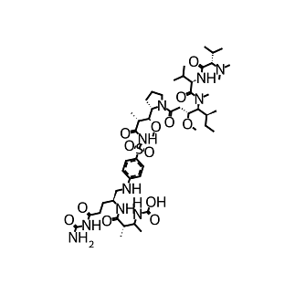 CC[C@H](C)[C@@H]([C@@H](CC(=O)N1CCC[C@H]1[C@H](OC)[C@@H](C)C(=O)NS(=O)(=O)c1ccc(NC[C@H](CCC(=O)NC(N)=O)NC(=O)[C@@H](C)C(C)NC(=O)O)cc1)OC)N(C)C(=O)[C@@H](NC(=O)[C@H](C(C)C)N(C)C)C(C)C